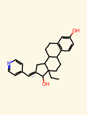 CCC12CCC3c4ccc(O)cc4CCC3C1C/C(=C\c1ccncc1)C2O